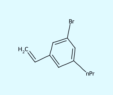 C=Cc1cc(Br)cc(CCC)c1